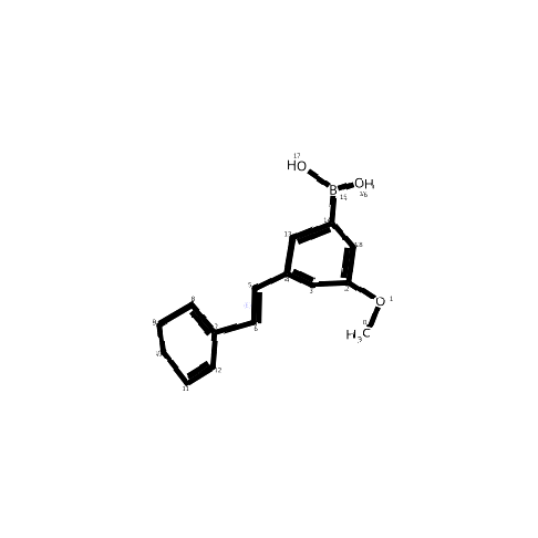 COc1cc(/C=C/C2=CCCC=C2)cc(B(O)O)c1